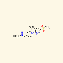 CS(=O)(=O)c1cnc(N2CCC(CNC(=O)O)CC2)c([N+](=O)[O-])c1